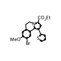 CCOC(=O)c1cc(-c2cccs2)c2n1CCc1cc(OC)c(Br)cc1-2